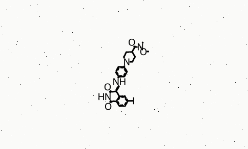 CON(C)C(=O)C1CCN(c2ccc(NC=C3C(=O)NC(=O)c4ccc(I)cc43)cc2)CC1